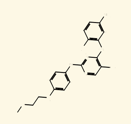 COCCOc1ccc(Nc2ncc(F)c(Nc3cc(N)ccc3O)n2)cc1